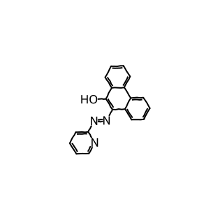 Oc1c(N=Nc2ccccn2)c2ccccc2c2ccccc12